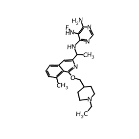 CCN1CCC(COc2nc(C(C)Nc3ncnc(N)c3NF)cc3cccc(C)c23)CC1